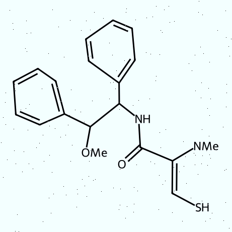 CN/C(=C\S)C(=O)NC(c1ccccc1)C(OC)c1ccccc1